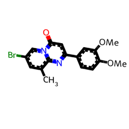 COc1ccc(-c2cc(=O)n3cc(Br)cc(C)c3n2)cc1OC